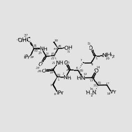 CC(C)C[C@H](NC(=O)[C@H](CCC(N)=O)NC(=O)[C@@H](N)CC(C)C)C(=O)N[C@H](C(=O)N[C@H]([C]=O)C(C)C)[C@@H](C)O